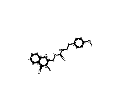 COc1ccc(CCNC(=O)OCc2[nH]c3ccccc3c(=O)c2C)cc1